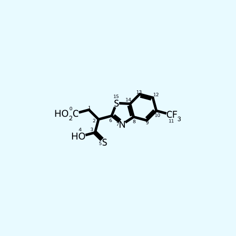 O=C(O)CC(C(O)=S)c1nc2cc(C(F)(F)F)ccc2s1